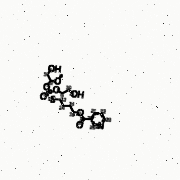 COC(CO)OP(=O)(OCCO)SCCCCOC(=O)c1cccnc1